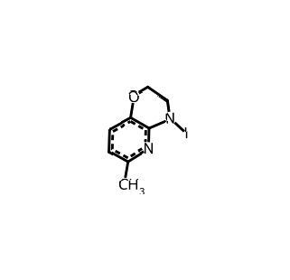 Cc1ccc2c(n1)N(I)CCO2